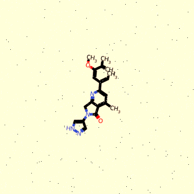 C=C(C)/C(=C\C(=C/C)c1cc(C)c2c(n1)CN(c1cn[nH]c1)C2=O)OC